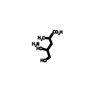 CC(CC(O)CO)C(=O)O.N